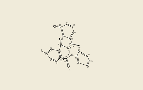 Cc1cccc(C(=O)N([C@H](C)c2cccc(Cl)c2)[C@@H](C(N)=O)c2ccccc2)c1